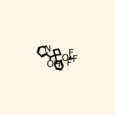 OC(c1ccccn1)C1(c2ccccc2OC(F)(F)F)CCC1